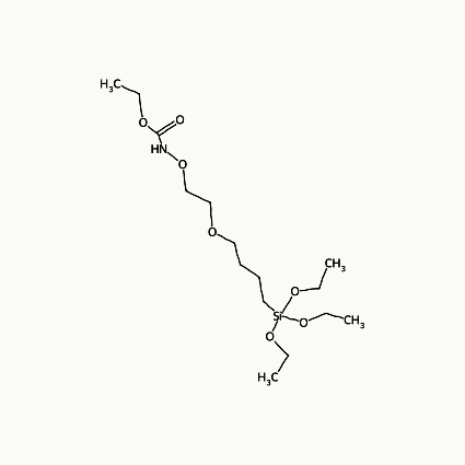 CCOC(=O)NOCCOCCCC[Si](OCC)(OCC)OCC